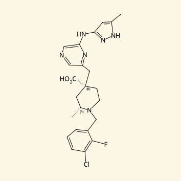 Cc1cc(Nc2cncc(C[C@@]3(C(=O)O)CCN(Cc4cccc(Cl)c4F)[C@H](C)C3)n2)n[nH]1